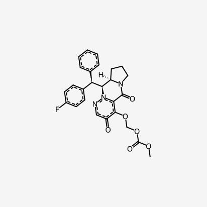 COC(=O)OCOc1c2n(ncc1=O)[C@@H]([C@H](c1ccccc1)c1ccc(F)cc1)[C@H]1CCCN1C2=O